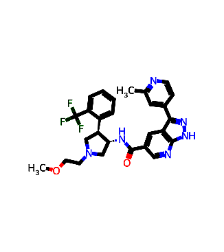 COCCN1C[C@@H](NC(=O)c2cnc3[nH]nc(-c4ccnc(C)c4)c3c2)[C@H](c2ccccc2C(F)(F)F)C1